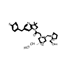 C[C@@H]1CN(CC(=O)N2CC(C)(C)c3ncc(Cc4ccc(F)cc4)cc32)[C@@H](CN2CCC[C@H]2CO)CN1.Cl.Cl